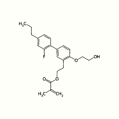 C=C(C)C(=O)OCCc1cc(-c2ccc(CCC)cc2F)ccc1OCCO